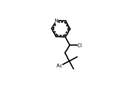 CC(=O)C(C)(C)CC(Cl)c1ccncc1